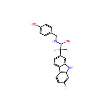 CC(C)(c1ccc2c(c1)[nH]c1cc(F)ccc12)C(O)NCc1ccc(O)cc1